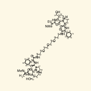 CC[C@H](NC)C(=O)N[C@@H]1C(=O)N2[C@@H](CC[C@@H]1CO)CC[C@H]2C(=O)N[C@H](C(=O)NCCCOCCOCCOCCCNC(=O)[C@@H](NC(=O)[C@@H]1CC[C@@H]2CC[C@H](CO)[C@H](NC(=O)[C@H](C)NC)C(=O)N21)c1ccccc1)c1ccccc1